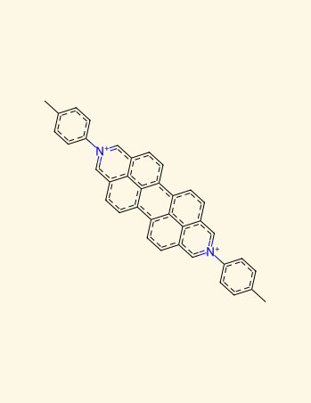 Cc1ccc(-[n+]2cc3ccc4c5ccc6c[n+](-c7ccc(C)cc7)cc7ccc(c8ccc(c2)c3c48)c5c67)cc1